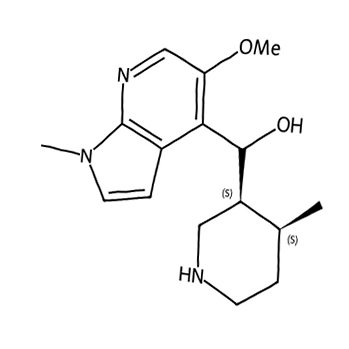 COc1cnc2c(ccn2C)c1C(O)[C@@H]1CNCC[C@@H]1C